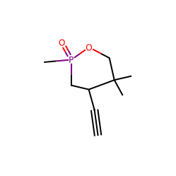 C#CC1CP(C)(=O)OCC1(C)C